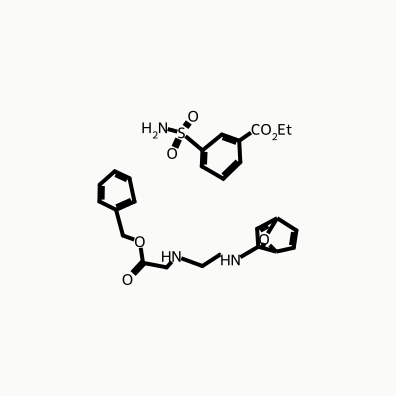 CCOC(=O)c1cccc(S(N)(=O)=O)c1.O=C(CNCCNc1cc2ccc1o2)OCc1ccccc1